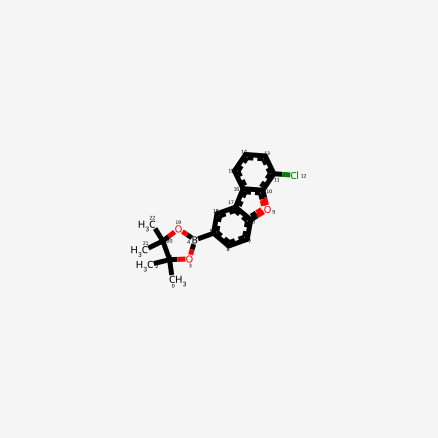 CC1(C)OB(c2ccc3oc4c(Cl)cccc4c3c2)OC1(C)C